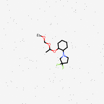 CCOCOC(C)OC1CCCCC1N1CCC(F)(F)C1